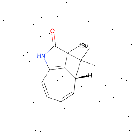 CC(C)(C)C12C(=O)NC3=C1[C@@H](C=CC=C3)C2(C)C